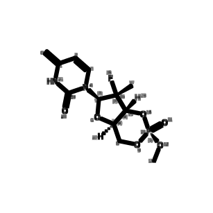 C=C1C=CN([C@@H]2O[C@@H]3CO[P@](=O)(OC)O[C@H]3[C@@]2(C)F)C(=O)N1